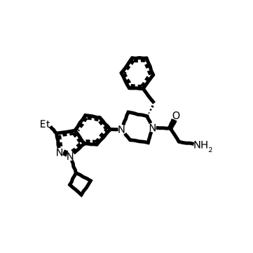 CCc1nn(C2CCC2)c2cc(N3CCN(C(=O)CN)[C@@H](Cc4ccccc4)C3)ccc12